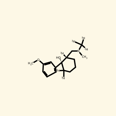 [2H]C([2H])([2H])N(C)C[C@]1([2H])CCCC([2H])([2H])[C@@]1(O)c1cccc(OC)c1